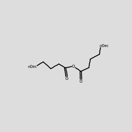 CCCCCCCCCCCCCC(=O)OC(=O)CCCCCCCCCCCCC